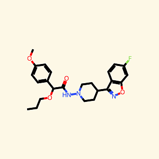 CCCOC(C(=O)NN1CCC(c2noc3cc(F)ccc23)CC1)c1ccc(OC)cc1